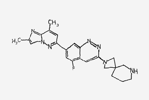 Cc1cn2nc(-c3cc(F)c4cc(N5CC6(CCCNC6)C5)nnc4c3)cc(C)c2n1